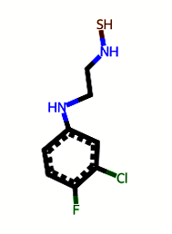 Fc1ccc(NCCNS)cc1Cl